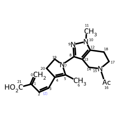 C=C(/C=C\C1=C(C)N(c2nn(C)c3c2CN(C(C)=O)CC3)CC1)C(=O)O